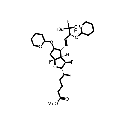 CCCCC(C)(F)[C@@H](/C=C/[C@@H]1[C@H]2C(F)[C@H](C(I)CCCC(=O)OC)O[C@@H]2C[C@H]1OC1CCCCO1)OC1CCCCO1